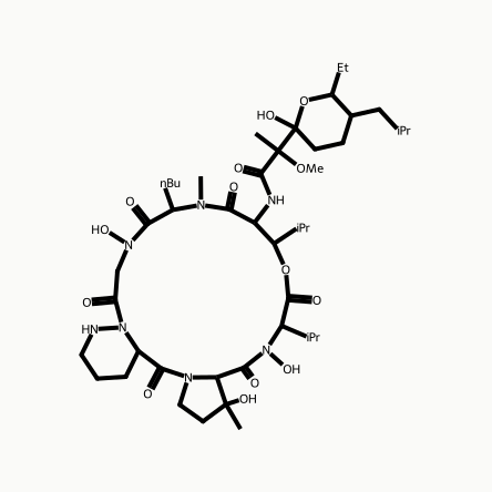 CCCCC1C(=O)N(O)CC(=O)N2NCCCC2C(=O)N2CCC(C)(O)C2C(=O)N(O)C(C(C)C)C(=O)OC(C(C)C)C(NC(=O)C(C)(OC)C2(O)CCC(CC(C)C)C(CC)O2)C(=O)N1C